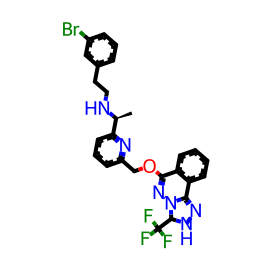 C[C@H](NCCc1cccc(Br)c1)c1cccc(COC2=NN3C(=NNC3C(F)(F)F)c3ccccc32)n1